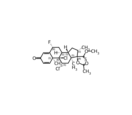 COC(=S)[C@@]1(OC(C)=O)[C@@H](C)C[C@H]2[C@@H]3C[C@@H](F)C4=CC(=O)C=C[C@]4(C)[C@@]3(Cl)[C@@H](Cl)C[C@@]21C